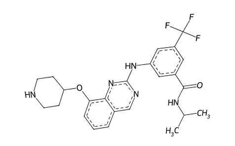 CC(C)NC(=O)c1cc(Nc2ncc3cccc(OC4CCNCC4)c3n2)cc(C(F)(F)F)c1